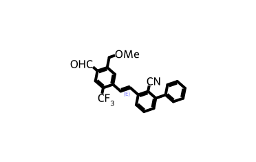 COCc1cc(/C=C/c2cccc(-c3ccccc3)c2C#N)c(C(F)(F)F)cc1C=O